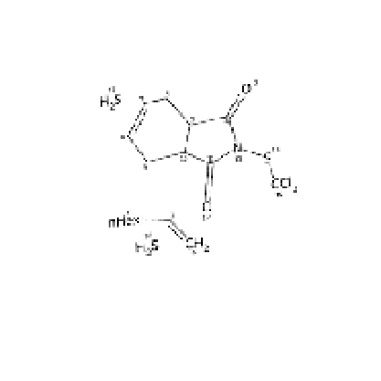 C=CCCCCCC.O=C1C2CC=CCC2C(=O)N1SC(Cl)(Cl)Cl.S.S